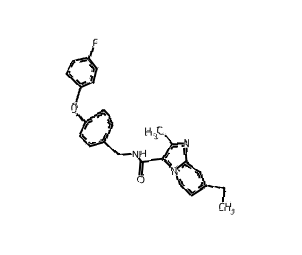 CCc1ccn2c(C(=O)NCc3ccc(Oc4ccc(F)cc4)cc3)c(C)nc2c1